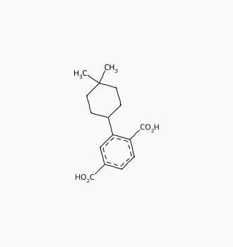 CC1(C)CCC(c2cc(C(=O)O)ccc2C(=O)O)CC1